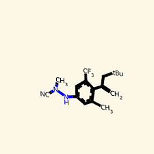 C=C(CC(C)(C)C)c1c(C)cc(NN(C)C#N)cc1C(F)(F)F